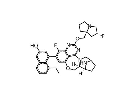 CCc1cccc2cc(O)cc(-c3cc4c5c(nc(OC[C@@]67CCCN6C[C@H](F)C7)nc5c3F)N3CC5CC[C@H](N5)[C@H]3CO4)c12